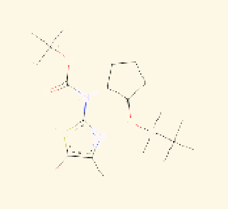 Cc1nc(N(C(=O)OC(C)(C)C)[C@@H]2CCCC2O[Si](C)(C)C(C)(C)C)sc1Br